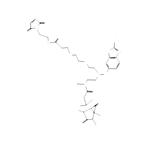 CC1C(=O)C(C)[C@@]2(C(C)(C)CC(=O)N(C)CCN(CCOCCOCCC(=O)NCCN3C(=O)C=CC3=O)Oc3ccc4nc(C#N)sc4c3)C(=O)C12C